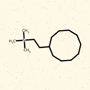 C[Si](C)(C)CC[C]1CCCCCCCCC1